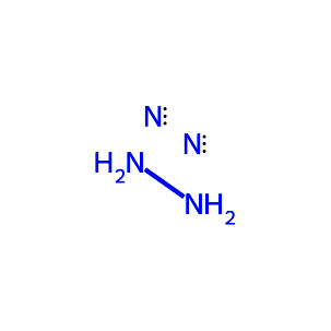 NN.[N].[N]